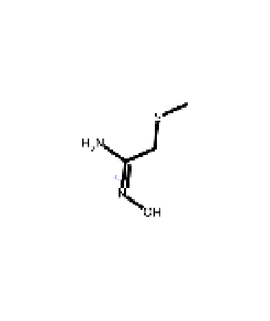 CSC/C(N)=N\O